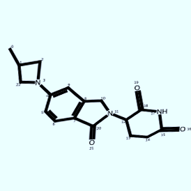 CC1CN(c2ccc3c(c2)CN(C2CCC(=O)NC2=O)C3=O)C1